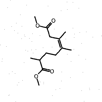 COC(=O)C/C(C)=C(/C)CCC(C)C(=O)OC